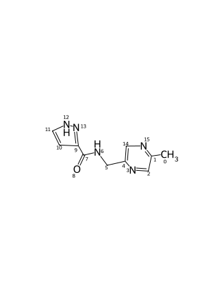 Cc1cnc(CNC(=O)c2cc[nH]n2)cn1